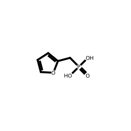 O=P(O)(O)Cc1ccco1